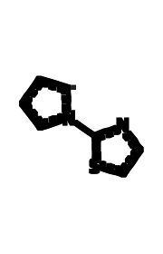 [c]1cccn1-c1nccs1